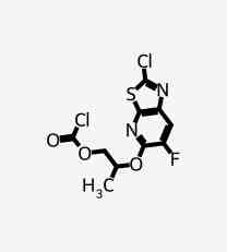 CC(COC(=O)Cl)Oc1nc2sc(Cl)nc2cc1F